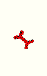 c1ccc(-c2ccc(N(c3ccc(-c4ccccc4)cc3)c3ccc(-c4ccc(-c5ccc(N(c6ccc7c(c6)oc6ccccc67)c6ccc7c(c6)oc6ccccc67)cc5)cc4)cc3)cc2)cc1